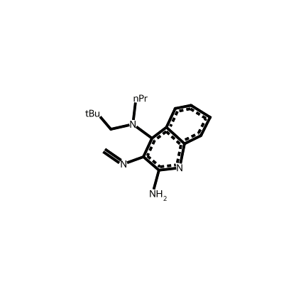 C=Nc1c(N)nc2ccccc2c1N(CCC)CC(C)(C)C